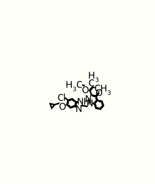 CCOC(=C(C)C)c1nn(Cc2nc3cc(OCC4CC4)c(Cl)cc3[nH]2)c2ccccc2c1=O